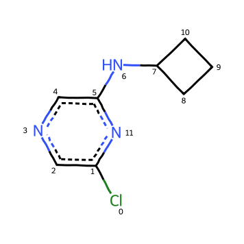 Clc1cncc(NC2CCC2)n1